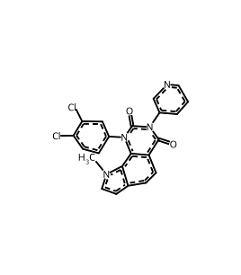 Cn1ccc2ccc3c(=O)n(-c4cccnc4)c(=O)n(-c4ccc(Cl)c(Cl)c4)c3c21